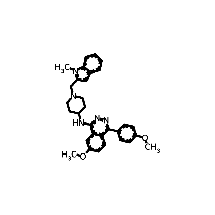 COc1ccc(-c2nnc(NC3CCN(Cc4cc5ccccc5n4C)CC3)c3cc(OC)ccc23)cc1